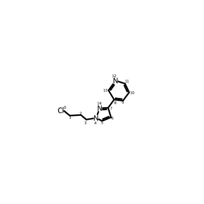 ClCCCn1ccc(-c2cccnc2)n1